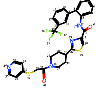 O=C(Nc1ccccc1-c1cccc(C(F)(F)F)c1)c1csc(C2CCN(C(=O)CSc3ccncc3)CC2)n1